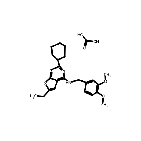 CCc1cc2c(NCc3ccc(OC)c(OC)c3)nc(C3CCCCC3)nc2s1.O=C(O)O